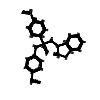 CC(=O)Nc1ccc(OP(=O)(OC2NCc3ccccc32)c2ccc(NC(C)=O)cc2)cc1